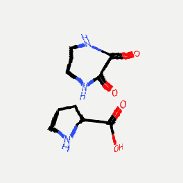 O=C(O)C1CCCN1.O=C1NCCNC1=O